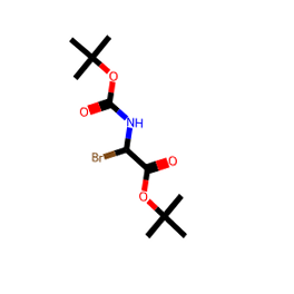 CC(C)(C)OC(=O)NC(Br)C(=O)OC(C)(C)C